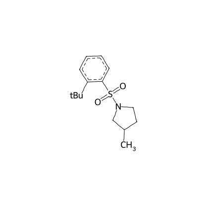 CC1CCN(S(=O)(=O)c2ccccc2C(C)(C)C)C1